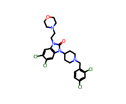 O=c1n(CCN2CCOCC2)c2cc(Cl)c(Cl)cc2n1C1CCN(Cc2ccc(Cl)cc2Cl)CC1